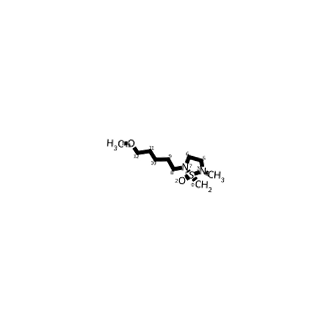 C=S1(=O)N(C)CCN1CCCCCOC